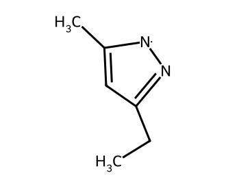 CCC1=N[N]C(C)=C1